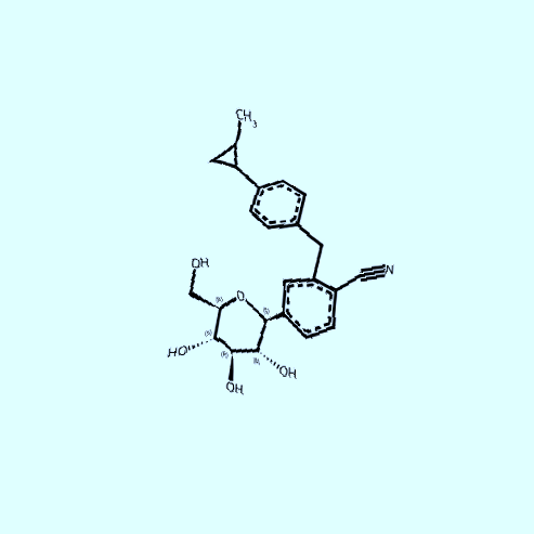 CC1CC1c1ccc(Cc2cc([C@@H]3O[C@H](CO)[C@@H](O)[C@H](O)[C@H]3O)ccc2C#N)cc1